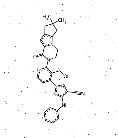 CC1(C)Cc2cc3n(c2C1)CCN(c1nccc(-n2cc(C#N)c(Nc4ccccc4)n2)c1CO)C3=O